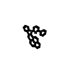 c1ccc(-c2cccc(-n3c4ccccc4c4cc5ccc6cccc7ccc(c5c67)c43)n2)cc1